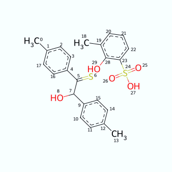 Cc1ccc(C(=S)C(O)c2ccc(C)cc2)cc1.Cc1cccc(S(=O)(=O)O)c1O